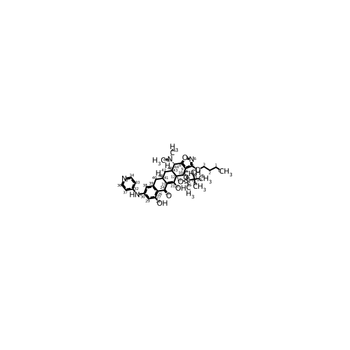 CCCCOc1noc2c1C(=O)[C@@]1(O[Si](C)(C)C(C)(C)C)C(O)=C3C(=O)c4c(O)cc(Nc5ccncc5)cc4C[C@H]3C[C@H]1[C@@H]2N(C)C